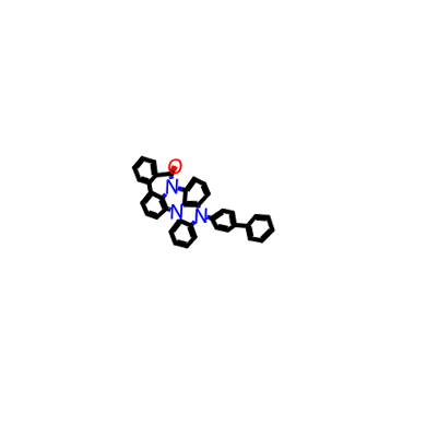 O=c1c2ccccc2c2cccc3c2n1c1cccc2c1-n3c1ccccc1n2-c1ccc(-c2ccccc2)cc1